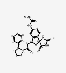 CNC(=O)Nc1ccc2c(c1)C(CC(=O)N1CCC[C@H]1c1ccccc1)CC21OC(=O)NC1=O